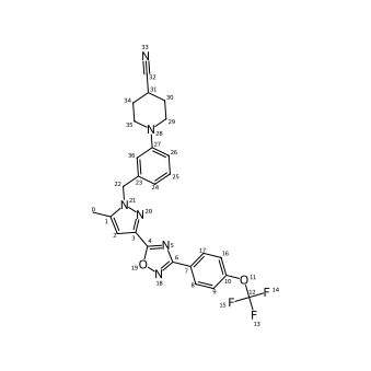 Cc1cc(-c2nc(-c3ccc(OC(F)(F)F)cc3)no2)nn1Cc1cccc(N2CCC(C#N)CC2)c1